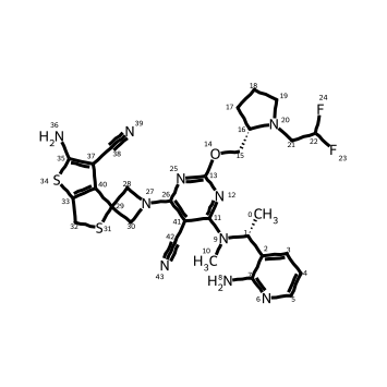 C[C@H](c1cccnc1N)N(C)c1nc(OC[C@@H]2CCCN2CC(F)F)nc(N2CC3(C2)SCc2sc(N)c(C#N)c23)c1C#N